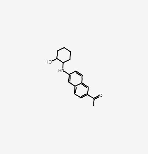 CC(=O)c1ccc2cc(NC3CCCCC3O)ccc2c1